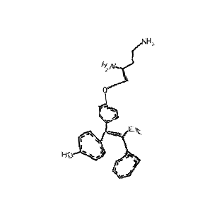 CCC(=C(c1ccc(O)cc1)c1ccc(OCC(N)CCN)cc1)c1ccccc1